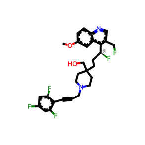 COc1ccc2ncc(CF)c([C@@H](F)CCC3(CO)CCN(CC#Cc4c(F)cc(F)cc4F)CC3)c2c1